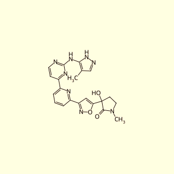 Cc1cn[nH]c1Nc1nccc(-c2cccc(-c3cc(C4(O)CCN(C)C4=O)on3)n2)n1